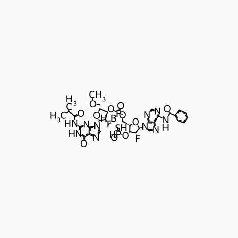 BP(=O)(OC[C@H]1O[C@@H](n2cnc3c(NC(=O)c4ccccc4)ncnc32)[C@H](F)[C@@H]1O[PH](=O)S)O[C@H]1[C@@H](F)[C@H](n2cnc3c(=O)[nH]c(NC(=O)C(C)C)nc32)O[C@@H]1COC